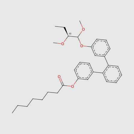 CCCCCCCC(=O)Oc1cccc(-c2ccccc2-c2cccc(OC(OC)[C@H](CC)OC)c2)c1